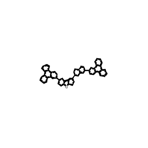 c1ccc2c(c1)c1ccccc1c1cc(-c3ccc4ccc(-c5ccc6oc7ccc(-c8ccc9c%10ccccc%10c%10ccccc%10c9c8)cc7c6c5)cc4c3)ccc21